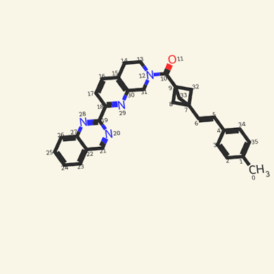 Cc1ccc(/C=C/C23CC(C(=O)N4CCc5ccc(-c6ncc7ccccc7n6)nc5C4)(C2)C3)cc1